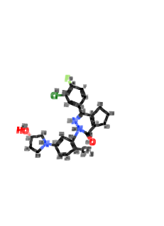 O=c1c2c(c(-c3ccc(F)c(Cl)c3)nn1-c1cc(N3CC[C@H](O)C3)ccc1C(F)(F)F)CCC2